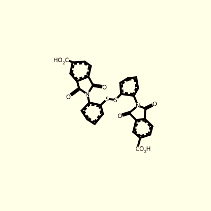 O=C(O)c1ccc2c(c1)C(=O)N(c1ccccc1SSc1ccccc1N1C(=O)c3ccc(C(=O)O)cc3C1=O)C2=O